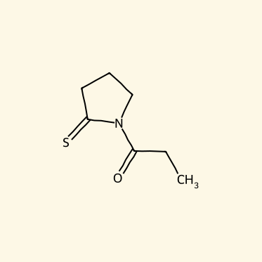 CCC(=O)N1CCCC1=S